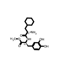 COC(=O)[C@H](Cc1ccc(O)c(O)c1)NC(=O)[C@@H](N)CC1CCCCC1